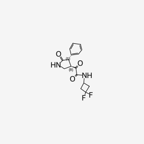 O=C(NC1CC(F)(F)C1)C(=O)[C@H]1CNC(=O)[C@@H]1c1ccccc1